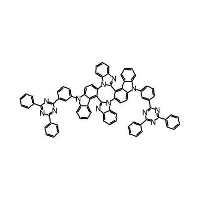 c1ccc(-c2nc(-c3ccccc3)nc(-c3cccc(-n4c5ccccc5c5c6c(ccc54)n4c5ccccc5nc4c4c5c7ccccc7n(-c7cccc(-c8nc(-c9ccccc9)nc(-c9ccccc9)n8)c7)c5ccc4n4c5ccccc5nc64)c3)n2)cc1